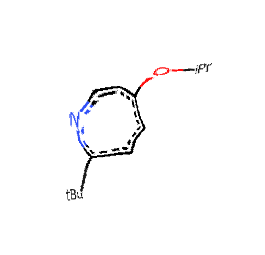 CC(C)Oc1ccc(C(C)(C)C)nc1